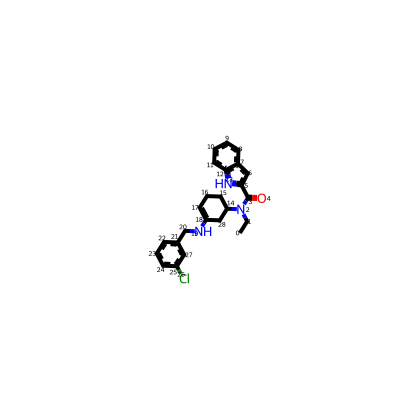 CCN(C(=O)c1cc2ccccc2[nH]1)C1CCC=C(NCc2cccc(Cl)c2)C1